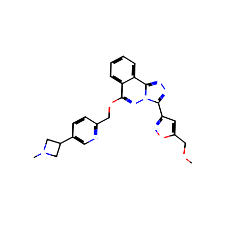 COCc1cc(-c2nnc3c4ccccc4c(OCc4ccc(C5CN(C)C5)cn4)nn23)no1